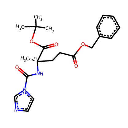 CC(C)(C)OC(=O)[C@@](C)(CCC(=O)OCc1ccccc1)NC(=O)n1ccnc1